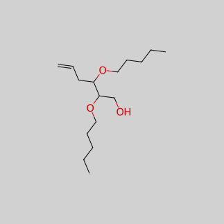 C=CCC(OCCCCC)C(CO)OCCCCC